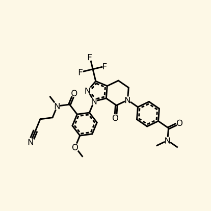 COc1ccc(-n2nc(C(F)(F)F)c3c2C(=O)N(c2ccc(C(=O)N(C)C)cc2)CC3)c(C(=O)N(C)CCC#N)c1